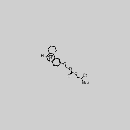 CCCCC(CC)COC(=O)OCOc1ccc2c(c1)[C@]13CCCC[C@@H]1[C@H](C2)NCC3